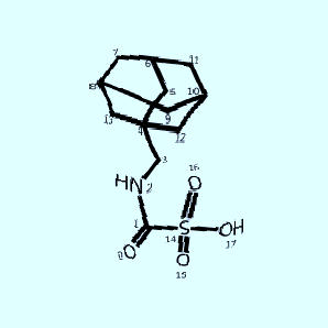 O=C(NCC12CC3CC(CC(C3)C1)C2)S(=O)(=O)O